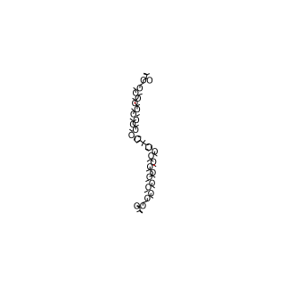 C=C(C)C(=O)OCCOC(C)OC(C)OC(C)OC(C)OC(C)OC(C)OC(C)OC(C)OC(C)Oc1ccc(C(C)(C)c2ccc(OC(C)OC(C)OC(C)OC(C)OC(C)OC(C)OC(C)OC(C)OC(C)OCCOC(=O)C(=C)C)cc2)cc1